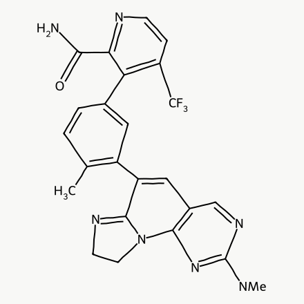 CNc1ncc2c(n1)N1CCN=C1C(c1cc(-c3c(C(F)(F)F)ccnc3C(N)=O)ccc1C)=C2